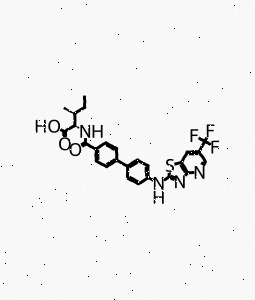 CC[C@H](C)[C@H](NC(=O)c1ccc(-c2ccc(Nc3nc4ncc(C(F)(F)F)cc4s3)cc2)cc1)C(=O)O